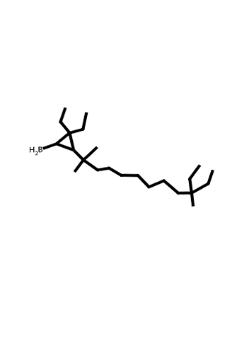 BC1C(C(C)(C)CCCCCCCC(C)(CC)CC)C1(CC)CC